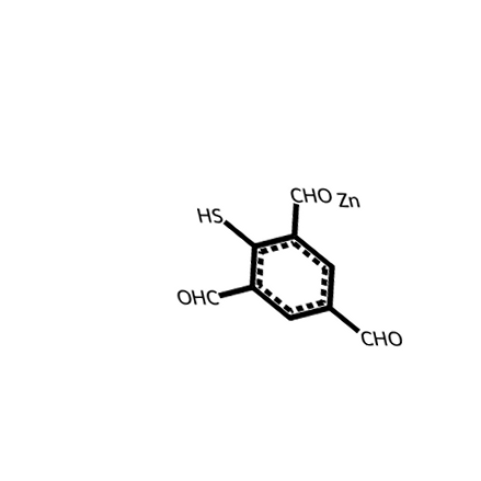 O=Cc1cc(C=O)c(S)c(C=O)c1.[Zn]